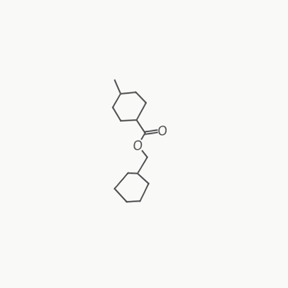 CC1CCC(C(=O)OCC2CCCCC2)CC1